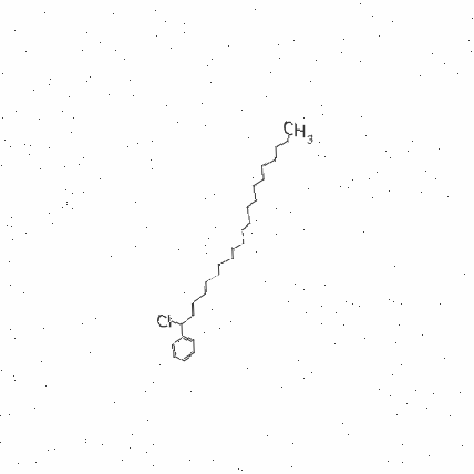 CCCCCCCCCCCCCCCCCCCCC(Cl)c1ccccc1